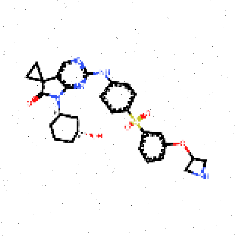 O=C1N([C@@H]2CCC[C@@H](O)C2)c2nc(Nc3ccc(S(=O)(=O)c4cccc(OC5CNC5)c4)cc3)ncc2C12CC2